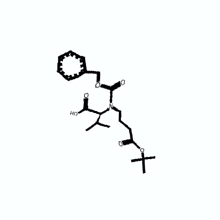 CC(C)[C@@H](C(=O)O)N(CCCC(=O)OC(C)(C)C)C(=O)OCc1ccccc1